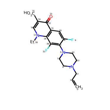 C=CCN1CCN(c2c(F)cc3c(=O)c(C(=O)O)cn(CC)c3c2F)CC1